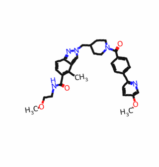 COCCNC(=O)c1ccc2nn(CC3CCN(C(=O)c4ccc(-c5ccc(OC)cn5)cc4)CC3)cc2c1C